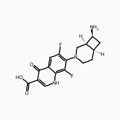 N[C@H]1C[C@H]2CCN(c3c(F)cc4c(=O)c(C(=O)O)c[nH]c4c3F)C[C@H]21